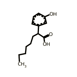 CCCCCCC(C(=O)O)c1cccc(O)c1